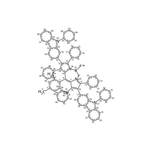 Cc1cc(C)c(/C(=C2/N=C(c3ccccc3)C(c3ccc4c5ccccc5n(-c5ccccc5)c4c3)=C2c2ccccc2)c2c(-c3ccccc3)c(-c3ccc4c5ccccc5n(-c5ccccc5)c4c3)c(-c3ccccc3)n2B(F)F)c(C)c1